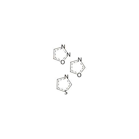 c1cocn1.c1conn1.c1cscn1